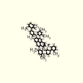 Cc1cc(C)cc(N(c2cc(-c3c(C)cccc3C)ccc2C)c2ccc3ccc4c(N(c5cc(C)cc(C)c5)c5cc(-c6c(C)cccc6C)ccc5C)ccc5ccc2c3c54)c1